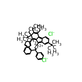 CCC1=C(CC)C(CC)(C(C)(C)C)C(C2=CC=CC2)=C2[C]([Zr+2]=[C](c3ccccc3)c3ccccc3)=c3cc(C(C)(C)C)ccc3=C12.[Cl-].[Cl-]